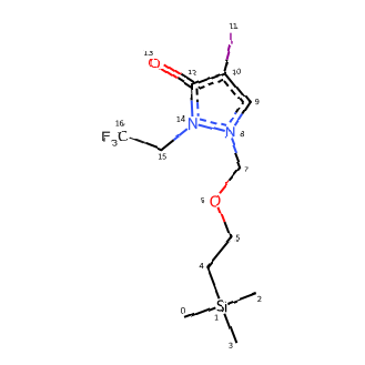 C[Si](C)(C)CCOCn1cc(I)c(=O)n1CC(F)(F)F